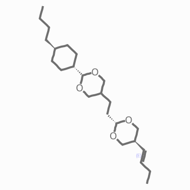 CC/C=C/[C@H]1CO[C@H](CCC2COC([C@H]3CC[C@H](CCCC)CC3)OC2)OC1